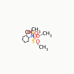 CCOP(=S)(OCC)N(c1ccccc1C)S(C)(=O)=O